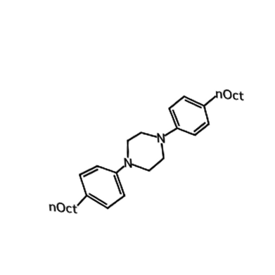 CCCCCCCCc1ccc(N2CCN(c3ccc(CCCCCCCC)cc3)CC2)cc1